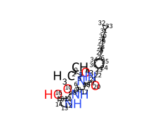 CC(C)C(=O)N1C[C@H](NC(=O)[C@H]2NCC[C@@H]2O)C[C@@H]1C(=O)NCc1ccc(C#CC#CC2CC2)cc1